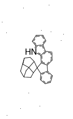 c1ccc2c(c1)-c1ccc3c([nH]c4ccccc43)c1C21C2CC3CC4CC1C2(C3)C4